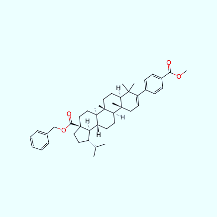 COC(=O)c1ccc(C2=CC[C@]3(C)[C@H]4CC[C@@H]5[C@H]6[C@H](C(C)C)CC[C@]6(C(=O)OCc6ccccc6)CC[C@@]5(C)[C@]4(C)CC[C@H]3C2(C)C)cc1